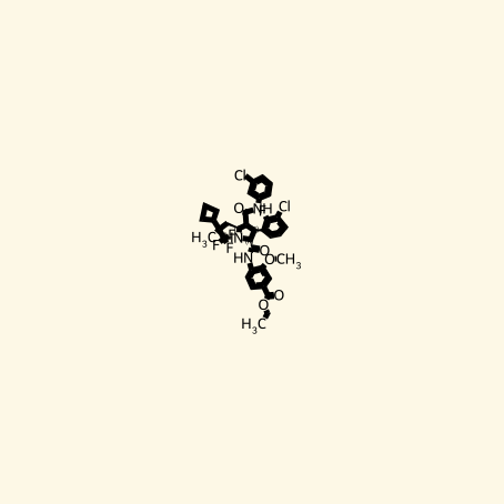 CCOC(=O)c1ccc(NC(=O)[C@@H]2N[C@@H](CC(C)(C3CCC3)C(F)(F)F)C(C(=O)Nc3cccc(Cl)c3)[C@H]2c2cccc(Cl)c2F)c(OC)c1